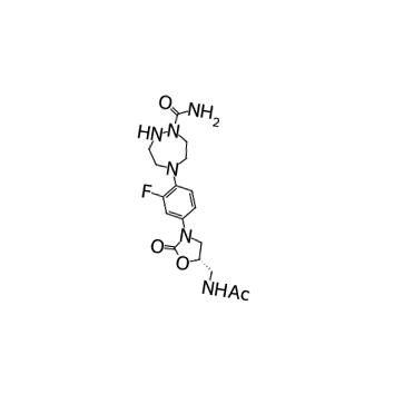 CC(=O)NC[C@H]1CN(c2ccc(N3CCNN(C(N)=O)CC3)c(F)c2)C(=O)O1